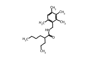 CCCCC(CCC)C(=O)NCc1c(C)cc(C)c(C)c1C